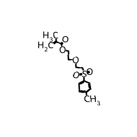 C=C(C)C(=O)OCCOCCS(=O)(=O)c1ccc(C)cc1